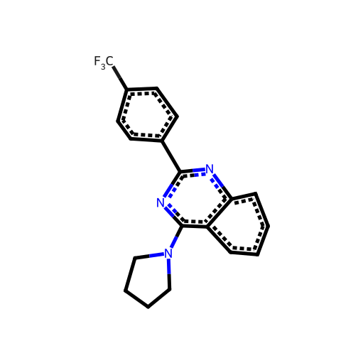 FC(F)(F)c1ccc(-c2nc(N3CCCC3)c3ccccc3n2)cc1